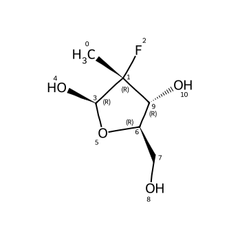 C[C@]1(F)[C@H](O)O[C@H](CO)[C@H]1O